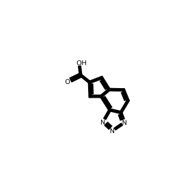 O=C(O)C1=Cc2c3c(ccc2=C1)=NN=N3